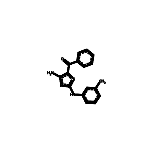 Cc1cccc(Nc2nc(N)c(C(=O)c3ccccc3)s2)c1